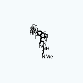 CCN(C)S(=O)(=O)Nc1ccc(F)c(-c2cc3cnc(NCCCNC)nc3n(C)c2=O)c1F.Cl